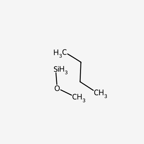 CCCC.CO[SiH3]